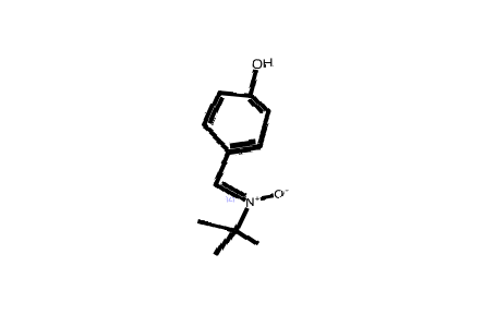 CC(C)(C)/[N+]([O-])=C/c1ccc(O)cc1